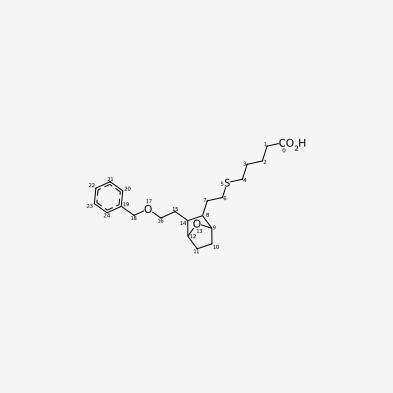 O=C(O)CCCCSCCC1C2CCC(O2)C1CCOCc1ccccc1